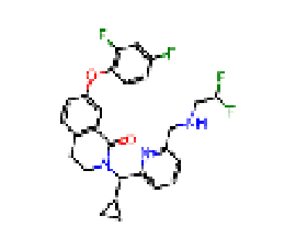 O=C1c2cc(Oc3ccc(F)cc3F)ccc2CCN1C(c1cccc(CNCC(F)F)n1)C1CC1